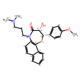 COc1ccc([C@@H]2Sc3c(ccc4ccccc34)N(CCCN(C)C)C(=O)[C@@H]2O)cc1